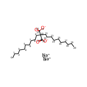 CCCCCCCCCCC(CCCCCCCCCC)(C(=O)[O-])C(=O)[O-].[Na+].[Na+]